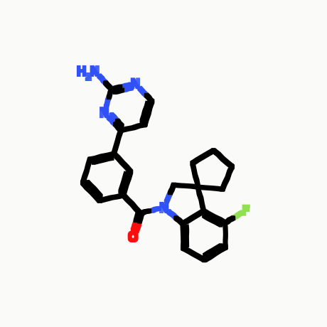 Nc1nccc(-c2cccc(C(=O)N3CC4(CCCC4)c4c(F)cccc43)c2)n1